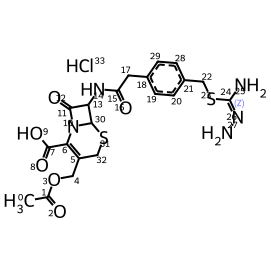 CC(=O)OCC1=C(C(=O)O)N2C(=O)C(NC(=O)Cc3ccc(CS/C(N)=N\N)cc3)C2SC1.Cl